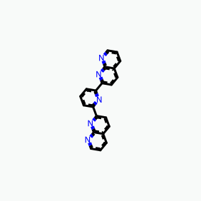 c1cc(-c2ccc3cccnc3n2)nc(-c2ccc3cccnc3n2)c1